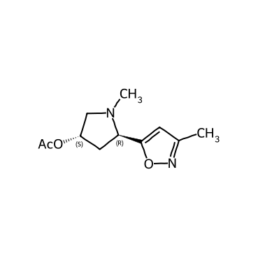 CC(=O)O[C@H]1C[C@H](c2cc(C)no2)N(C)C1